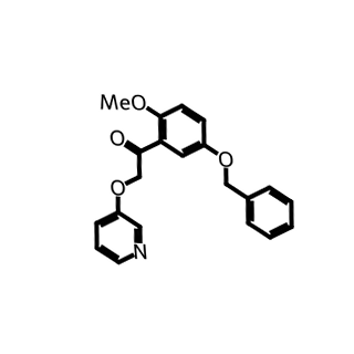 COc1ccc(OCc2ccccc2)cc1C(=O)COc1cccnc1